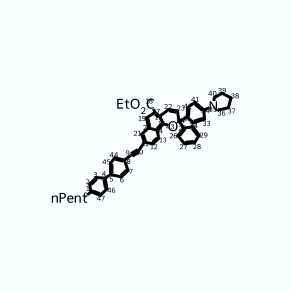 CCCCCc1ccc(-c2ccc(C#Cc3ccc4c5c(c(C(=O)OCC)cc4c3)C=CC(c3ccccc3)(c3ccc(N4CCCCC4)cc3)O5)cc2)cc1